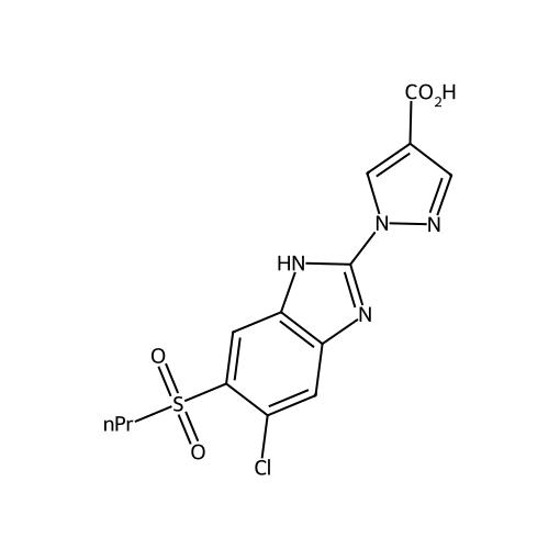 CCCS(=O)(=O)c1cc2[nH]c(-n3cc(C(=O)O)cn3)nc2cc1Cl